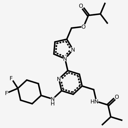 CC(C)C(=O)NCc1cc(NC2CCC(F)(F)CC2)nc(-n2ccc(COC(=O)C(C)C)n2)c1